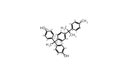 Cc1ccc(C(C)(C)c2ccc(C(C)(c3ccc(O)cc3)c3ccc(O)cc3)cc2)cc1